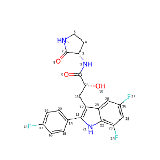 O=C(N[C@H]1CCNC1=O)[C@H](O)Cc1c(-c2ccc(F)cc2)[nH]c2c(F)cc(F)cc12